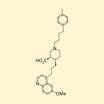 COc1ccc2nccc(CCC[C@@H]3CCN(CCCCc4ccc(C)cc4)C[C@@H]3C(=O)O)c2c1